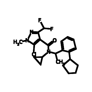 CC(c1ccccc1C1CCCC1)N(C(=O)c1c(C(F)F)nn(C)c1Cl)C1CC1